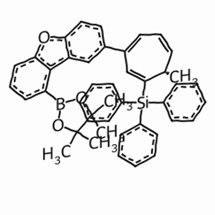 C[C@@H]1C=CC=C(c2ccc3oc4cccc(B5OC(C)(C)C(C)(C)O5)c4c3c2)C=C1[Si](c1ccccc1)(c1ccccc1)c1ccccc1